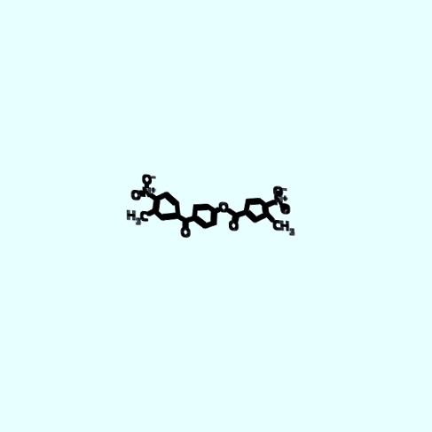 Cc1cc(C(=O)Oc2ccc(C(=O)c3ccc([N+](=O)[O-])c(C)c3)cc2)ccc1[N+](=O)[O-]